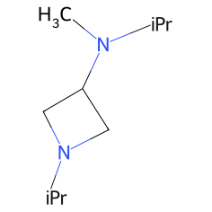 CC(C)N1CC(N(C)C(C)C)C1